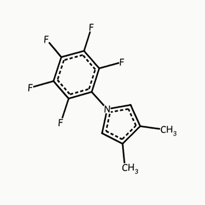 Cc1cn(-c2c(F)c(F)c(F)c(F)c2F)cc1C